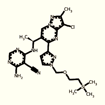 Cc1nn2cc([C@H](C)Nc3ncnc(N)c3C#N)c(-c3ccn(COCC[Si](C)(C)C)n3)nc2c1Cl